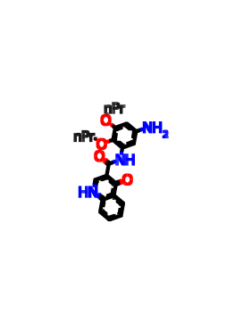 CCCOc1cc(N)cc(NC(=O)c2c[nH]c3ccccc3c2=O)c1OCCC